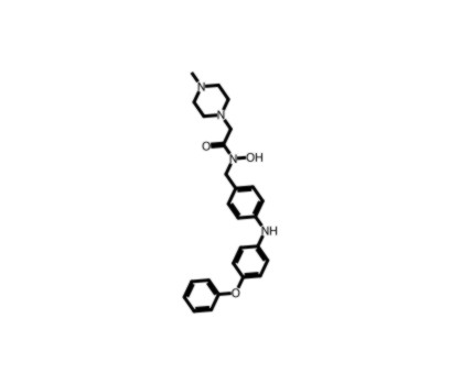 CN1CCN(CC(=O)N(O)Cc2ccc(Nc3ccc(Oc4ccccc4)cc3)cc2)CC1